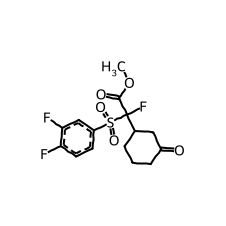 COC(=O)C(F)(C1CCCC(=O)C1)S(=O)(=O)c1ccc(F)c(F)c1